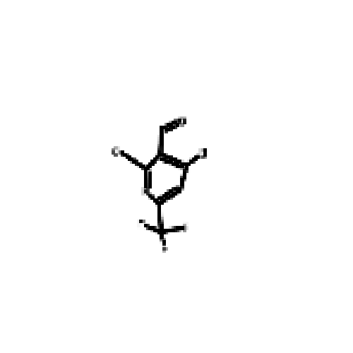 O=Cc1c(Cl)cc(C(F)(F)F)nc1Cl